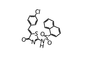 O=C1N=C(NS(=O)(=O)c2cccc3ccccc23)SC1=Cc1ccc(Cl)cc1